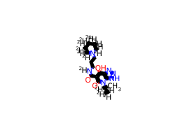 [2H]N(CCCN1C([2H])([2H])C([2H])([2H])C([2H])([2H])C([2H])([2H])C1([2H])[2H])C(=O)c1c(O)c2nn[nH]c2n(C([2H])(C)C([2H])([2H])[2H])c1=O